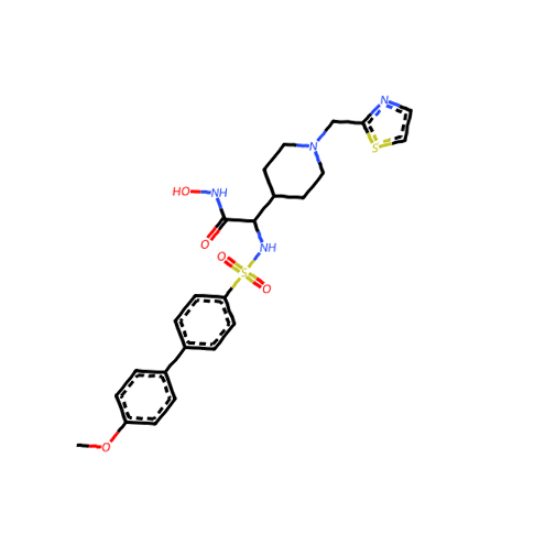 COc1ccc(-c2ccc(S(=O)(=O)NC(C(=O)NO)C3CCN(Cc4nccs4)CC3)cc2)cc1